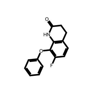 O=C1CCc2ccc(F)c(Oc3ccccc3)c2N1